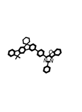 CC1(C)c2ccccc2-c2cc3c(cc21)-c1cc(-c2ccc(-c4nc(-c5ccccc5)nc5c4oc4ccccc45)cc2)ccc1C31CCCCC1